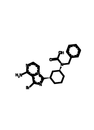 Nc1nccn2c([C@H]3CCC[C@@H](N(Cc4ccccc4)C(=O)O)C3)nc(Br)c12